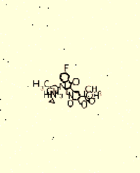 CC[C@@]1(O)C(=O)OCc2c1cc1n(c2=O)Cc2c-1c(=O)c1cc(F)ccc1n2[C@@H](CNC1CC1)CC(C)C